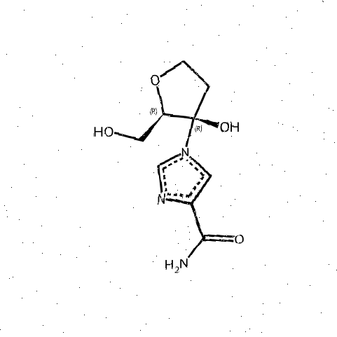 NC(=O)c1cn([C@@]2(O)CCO[C@@H]2CO)cn1